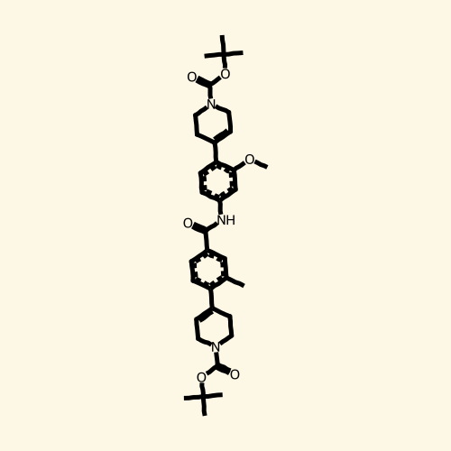 COc1cc(NC(=O)c2ccc(C3=CCN(C(=O)OC(C)(C)C)CC3)c(C)c2)ccc1C1=CCN(C(=O)OC(C)(C)C)CC1